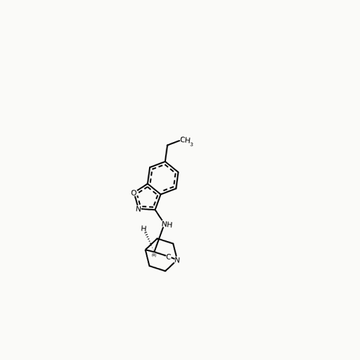 CCc1ccc2c(N[C@H]3CN4CCC3CC4)noc2c1